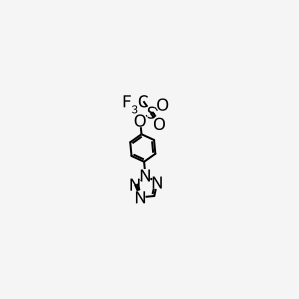 O=S(=O)(Oc1ccc(-n2ncnn2)cc1)C(F)(F)F